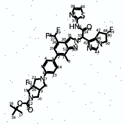 Cc1c(-c2ccc(N3CC4CN(C(=O)OC(C)(C)C)C[C@@]4(F)C3)cc2)cc(C(F)F)c2cn(C(C(=O)Nc3nccs3)c3ncn4c3C[C@@H](F)C4)nc12